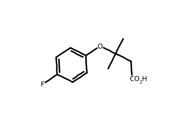 CC(C)(CC(=O)O)Oc1ccc(F)cc1